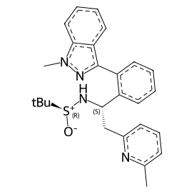 Cc1cccc(C[C@H](N[S@@+]([O-])C(C)(C)C)c2ccccc2-c2nn(C)c3ccccc23)n1